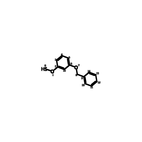 SOc1cccc(OCc2ccccc2)c1